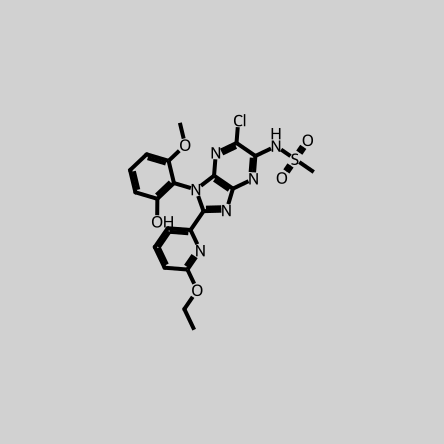 CCOC1=NC(c2nc3nc(NS(C)(=O)=O)c(Cl)nc3n2-c2c(O)cccc2OC)=C=C=C1